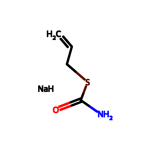 C=CCSC(N)=O.[NaH]